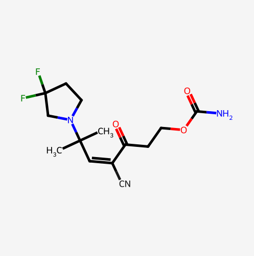 CC(C)(C=C(C#N)C(=O)CCOC(N)=O)N1CCC(F)(F)C1